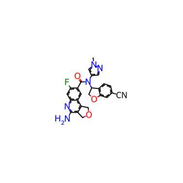 Cn1cc(N(C(=O)c2cc3c4c(c(N)nc3cc2F)COC4)C2COc3cc(C#N)ccc32)cn1